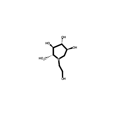 O=C(O)[C@@H]1[C@@H](O)[C@H](O)[C@@H](O)CN1CCO